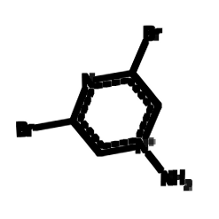 N[n+]1cc(Br)nc(Br)c1